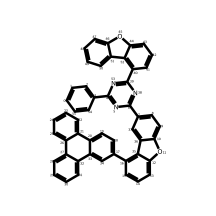 c1ccc(-c2nc(-c3ccc4oc5cccc(-c6ccc7c8ccccc8c8ccccc8c7c6)c5c4c3)nc(-c3cccc4oc5ccccc5c34)n2)cc1